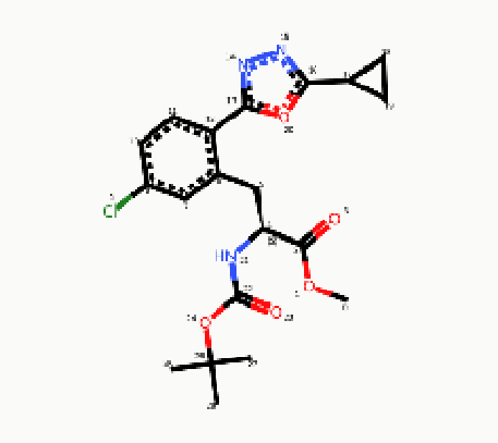 COC(=O)[C@H](Cc1cc(Cl)ccc1-c1nnc(C2CC2)o1)NC(=O)OC(C)(C)C